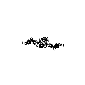 O=C(O)CN(CC(=O)N1CCC(C(=O)c2ccc(O)cc2)CC1)C1CCCCC1N(CC(=O)O)CC(=O)N1CCC(C(=O)c2ccc(O)cc2)CC1